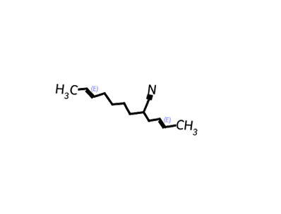 C/C=C/CCCCC(C#N)C/C=C/C